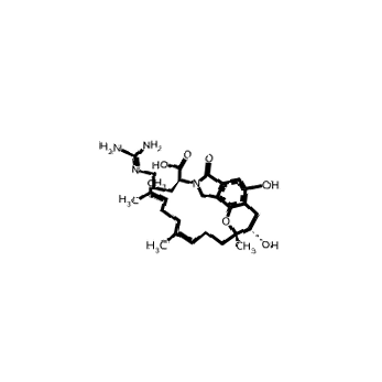 CC(C)=CCCC(C)=CCC[C@]1(C)Oc2c(c(O)cc3c2CN([C@@H](CCCN=C(N)N)C(=O)O)C3=O)C[C@@H]1O